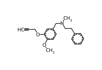 C#CCOc1cc(CN(C)CCc2ccccc2)ccc1OC